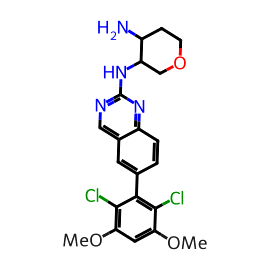 COc1cc(OC)c(Cl)c(-c2ccc3nc(NC4COCCC4N)ncc3c2)c1Cl